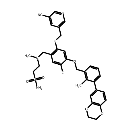 Cc1c(COc2cc(OCc3cncc(C#N)c3)c(CN(C)CCS(N)(=O)=O)cc2Cl)cccc1-c1ccc2c(c1)OCCO2